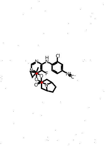 [C-]#[N+]c1ccc(Nc2ncnc(OC3CC4CCC(C3)N4C(=O)OC3(C)CC3)c2F)c(Cl)c1